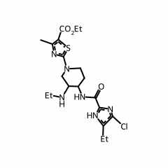 CCNC1CN(c2nc(C)c(C(=O)OCC)s2)CCC1NC(=O)c1nc(Cl)c(CC)[nH]1